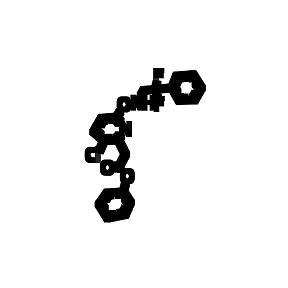 O=C(Cc1nc(ONCC(F)(F)c2ccccc2)ccc1Cl)Oc1ccccc1